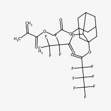 C=C(C)C(=O)OCC(=O)OC12CC3CC(C1)C(OC(=O)C(F)(F)C(C)(F)F)C(OC(=O)C(F)(F)C(F)(F)C(F)(F)F)(C3)C2